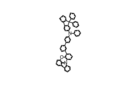 c1ccc(N(c2ccc(-c3cccc(-c4cccc5c4Oc4cccc6c7ccccc7n-5c46)c3)cc2)c2ccc3c(c2)C(c2ccccc2)(c2ccccc2)c2ccccc2-3)cc1